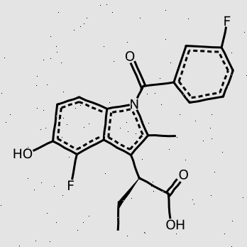 CC[C@H](C(=O)O)c1c(C)n(C(=O)c2cccc(F)c2)c2ccc(O)c(F)c12